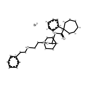 O=C(OC1C[N+]2(CCOCCc3ccccc3)CCC1CC2)C1(c2ccccc2)CCCCCC1.[Br-]